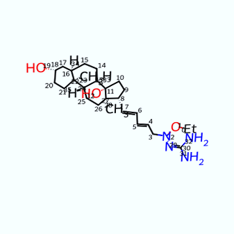 CCON(C/C=C/C=C/[C@H]1CC[C@]2(O)[C@@H]3CC[C@@H]4C[C@@H](O)CC[C@]4(C)[C@H]3CC[C@]12C)N=C(N)N